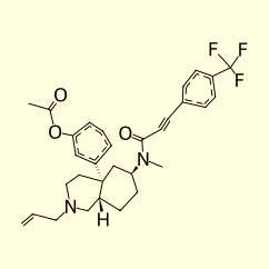 C=CCN1CC[C@@]2(c3cccc(OC(C)=O)c3)C[C@@H](N(C)C(=O)C#Cc3ccc(C(F)(F)F)cc3)CC[C@@H]2C1